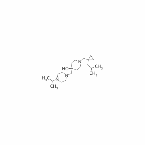 CC(C)CC1(CN2CCC(O)(CN3CCN(C(C)C)CC3)CC2)CC1